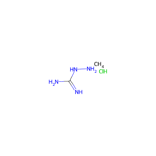 C.Cl.N=C(N)NN